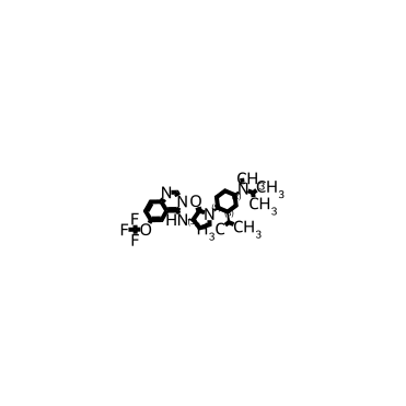 CC(C)[C@@H]1C[C@H](N(C)C(C)C)CC[C@@H]1N1CC[C@H](Nc2ncnc3ccc(OC(F)(F)F)cc23)C1=O